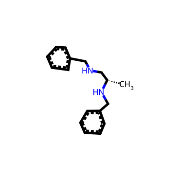 C[C@@H](CNCc1ccccc1)NCc1ccccc1